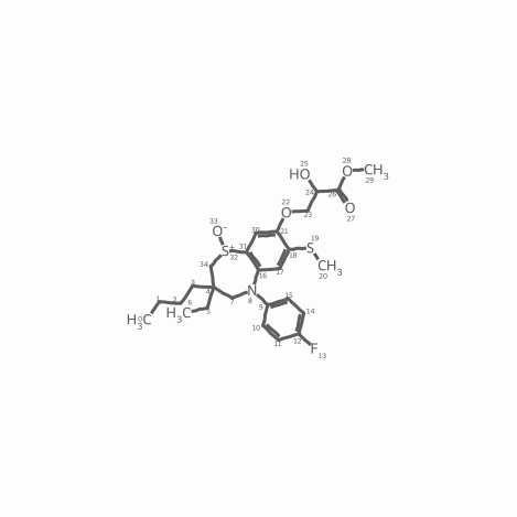 CCCCC1(CC)CN(c2ccc(F)cc2)c2cc(SC)c(OCC(O)C(=O)OC)cc2[S+]([O-])C1